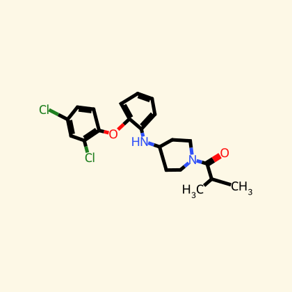 CC(C)C(=O)N1CCC(Nc2ccccc2Oc2ccc(Cl)cc2Cl)CC1